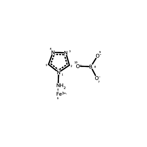 Nn1cnnc1.[Fe+3].[O-]B([O-])[O-]